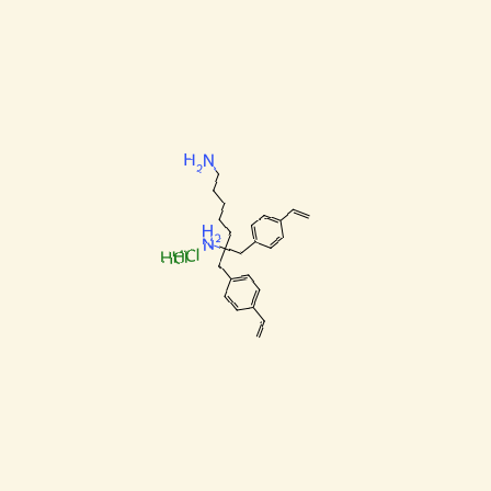 C=Cc1ccc(CC(N)(CCCCCN)Cc2ccc(C=C)cc2)cc1.Cl.Cl